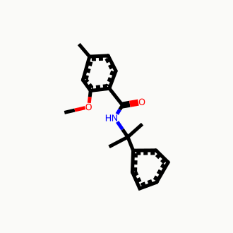 COc1cc(C)ccc1C(=O)NC(C)(C)c1ccccc1